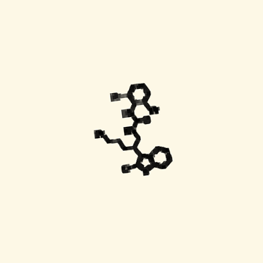 CC(C)CCCC(CNC(=O)Nc1c(C(C)C)cccc1C(C)C)c1c(Cl)sc2ccccc12